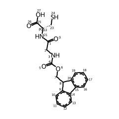 O=C(CNC(=O)OCC1c2ccccc2-c2ccccc21)N[C@@H](CS)C(=O)O